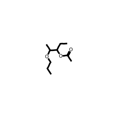 CCCOC(C)C(CC)OC(C)=O